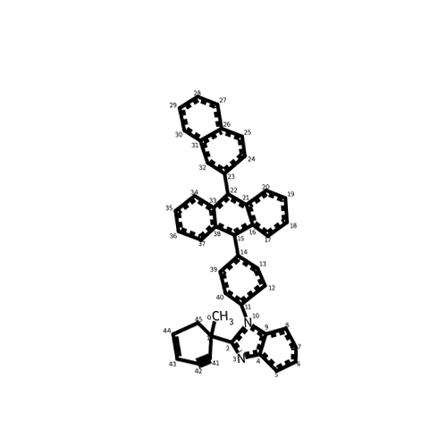 CC1(c2nc3ccccc3n2-c2ccc(-c3c4ccccc4c(-c4ccc5ccccc5c4)c4ccccc34)cc2)C#CC=CC1